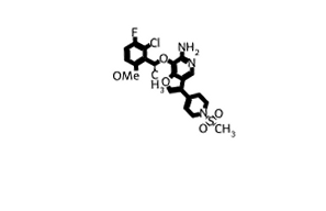 COc1ccc(F)c(Cl)c1[C@@H](C)Oc1c(N)ncc2c(C3=CCN(S(C)(=O)=O)CC3)coc12